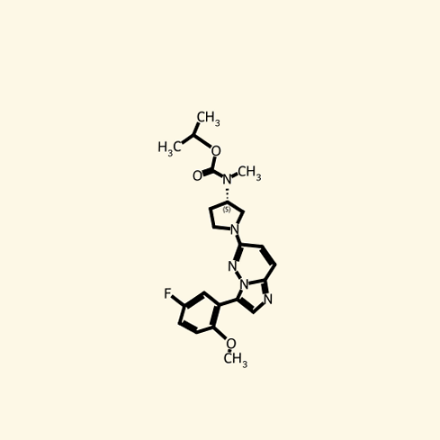 COc1ccc(F)cc1-c1cnc2ccc(N3CC[C@H](N(C)C(=O)OC(C)C)C3)nn12